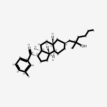 CCCCC(C)(O)C[C@H]1CC[C@@H]2[C@H](CC[C@]3(C)[C@@H](C(=O)c4cccc(C)c4)CC[C@@H]23)C1